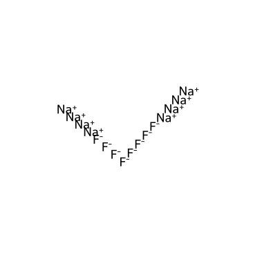 [F-].[F-].[F-].[F-].[F-].[F-].[F-].[F-].[Na+].[Na+].[Na+].[Na+].[Na+].[Na+].[Na+].[Na+]